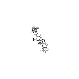 CC1COc2ccc(S(=O)(=O)N3CC[C@@H](CSc4nccn4C)[C@H](F)C3)cc21